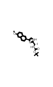 COc1ccc2cc(-c3c[nH]c([C@H](I)NC(=O)OC(C)(C)C)n3)ccc2c1